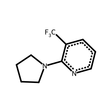 FC(F)(F)c1cccnc1N1CCCC1